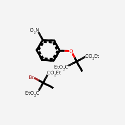 CCOC(=O)C(C)(Br)C(=O)OCC.CCOC(=O)C(C)(Oc1cccc([N+](=O)[O-])c1)C(=O)OCC